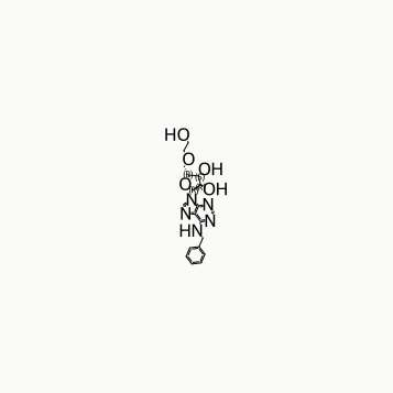 OCCOC[C@H]1O[C@@H](n2cnc3c(NCc4ccccc4)ncnc32)[C@H](O)[C@@H]1O